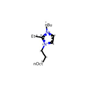 CCCCCCCCCC[n+]1ccn(CCCC)c1CC